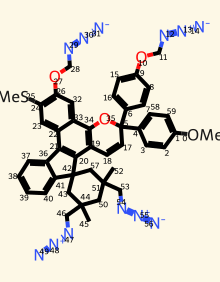 COc1ccc(C2(c3ccc(OCN=[N+]=[N-])cc3)C=Cc3c4c(c5cc(SC)c(OCN=[N+]=[N-])cc5c3O2)-c2ccccc2C42CC(C)(CN=[N+]=[N-])CC(C)(CN=[N+]=[N-])C2)cc1